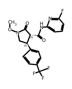 CON1C[C@H](c2ccc(C(F)(F)F)cc2)[C@@H](C(=O)Nc2cccc(F)n2)C1=O